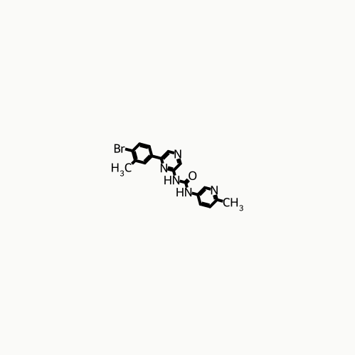 Cc1ccc(NC(=O)Nc2cncc(-c3ccc(Br)c(C)c3)n2)cn1